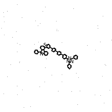 c1ccc(-c2nc(-c3ccccc3)nc(-c3ccc(-c4ccc(-c5ccc(-c6ccc7sc8ccc9c(-c%10ccccc%10)nc%10ccccc%10c9c8c7c6)cc5)cc4)cc3)n2)cc1